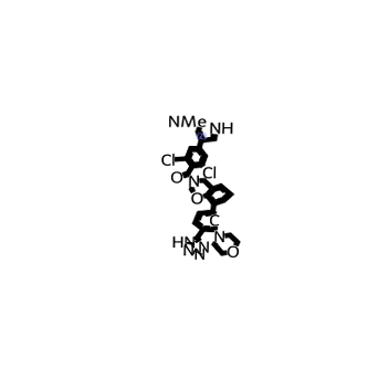 CN/C=C(\C=N)c1cc(Cl)c(C(=O)N2COc3c(cccc3-c3ccc(-c4nnn[nH]4)c(N4CCOCC4)c3)C2)c(Cl)c1